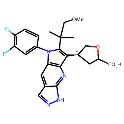 COCC(C)(C)c1c([C@H]2COC(C(=O)O)C2)c2nc3[nH]ncc3cc2n1-c1ccc(F)c(F)c1